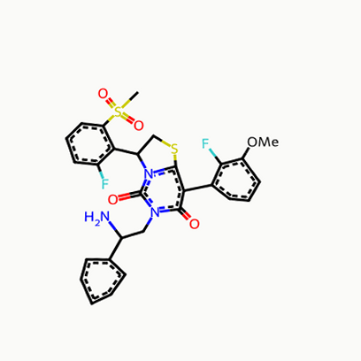 COc1cccc(-c2c3n(c(=O)n(CC(N)c4ccccc4)c2=O)C(c2c(F)cccc2S(C)(=O)=O)CS3)c1F